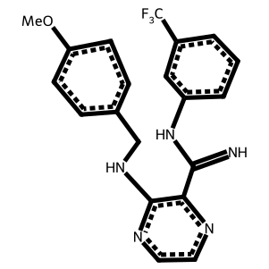 COc1ccc(CNc2nccnc2C(=N)Nc2cccc(C(F)(F)F)c2)cc1